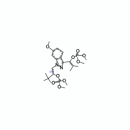 COc1ccc2c(C(OP(=O)(OC)OC)=C(C)C)nn(/C=C(\OP(=O)(OC)OC)C(C)(C)C)c2c1